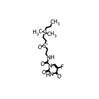 CCC[Si](C)(C)CC[S+]([O-])CCNC(=O)n1cc(F)c(=O)[nH]c1=O